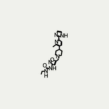 CCNC(=O)Nc1cc(CN2CCC(c3ccc(-c4ncc[nH]4)nc3C)CC2)on1